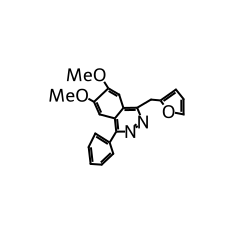 COc1cc2c(Cc3ccco3)nnc(-c3ccccc3)c2cc1OC